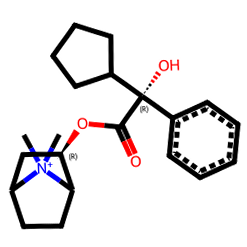 C[N+]1(C)C2CCC1[C@H](OC(=O)[C@](O)(c1ccccc1)C1CCCC1)C2